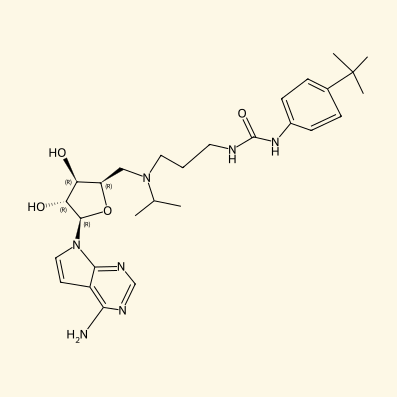 CC(C)N(CCCNC(=O)Nc1ccc(C(C)(C)C)cc1)C[C@H]1O[C@@H](n2ccc3c(N)ncnc32)[C@H](O)[C@H]1O